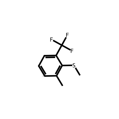 CSc1c(C)[c]ccc1C(F)(F)F